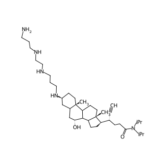 C#C[C@H](CCC(=O)N(C(C)C)C(C)C)[C@H]1CCC2C3C(CC[C@@]21C)[C@@]1(C)CC[C@H](NCCCNCCNCCCN)CC1C[C@H]3O